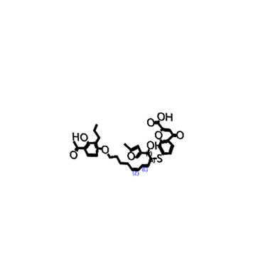 CCCc1c(OCCCC/C=C\C=C\[C@H](Sc2ccc3c(=O)cc(C(=O)O)oc3c2)[C@H](O)c2coc(C)c2)ccc(C(C)=O)c1O